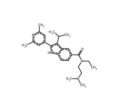 CCN(CCN(C)C)C(=O)c1ccc2[nH]c(-c3cc(C)nc(C)c3)c(C(C)C)c2c1